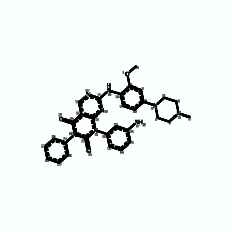 COc1cc(N2CCN(C)CC2)ccc1Nc1ncc2c(=O)n(-c3ccccc3)c(=O)n(-c3cccc(N)c3)c2n1